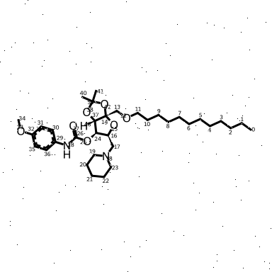 CCCCCCCCCCCCOC[C@@]12O[C@@H](CN3CCCCC3)[C@@H](OC(=O)Nc3ccc(OC)cc3)[C@@H]1OC(C)(C)O2